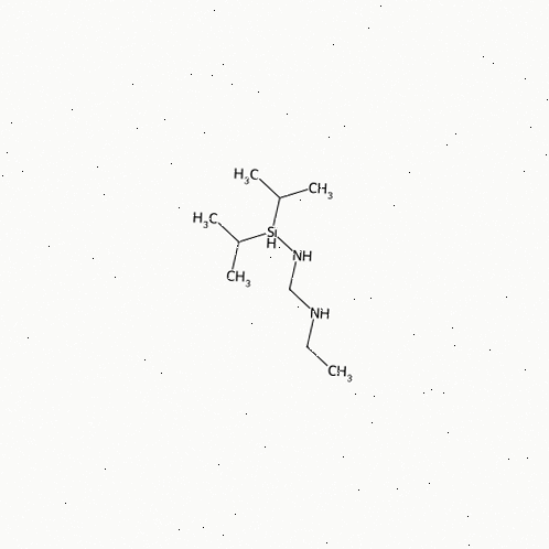 CCNCN[SiH](C(C)C)C(C)C